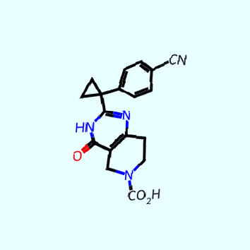 N#Cc1ccc(C2(c3nc4c(c(=O)[nH]3)CN(C(=O)O)CC4)CC2)cc1